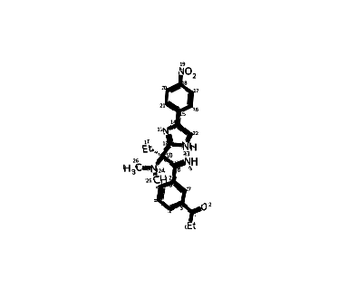 CCC(=O)c1cccc(C(=N)[C@](CC)(c2nc(-c3ccc([N+](=O)[O-])cc3)c[nH]2)N(C)C)c1